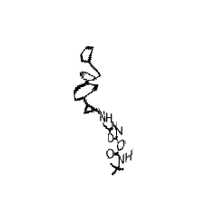 CC(C)(C)NC(=O)Oc1nnc(CNC2CC2c2ccc(OCc3ccccc3)cc2)o1